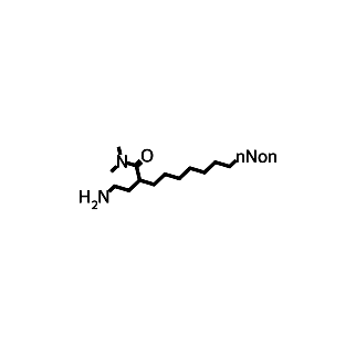 CCCCCCCCCCCCCCCCC(CCN)C(=O)N(C)C